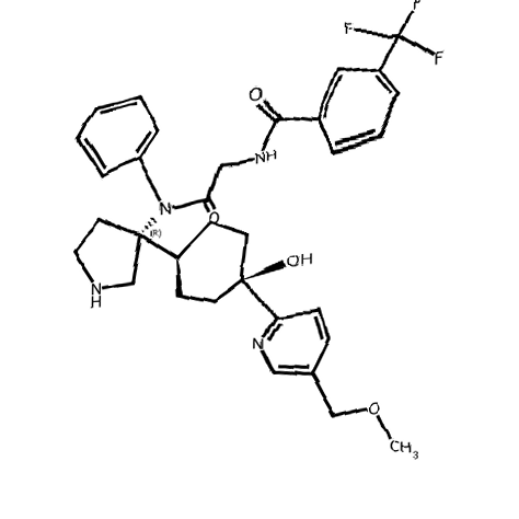 COCc1ccc([C@]2(O)CC[C@@H]([C@]3(N(C(=O)CNC(=O)c4cccc(C(F)(F)F)c4)c4ccccc4)CCNC3)CC2)nc1